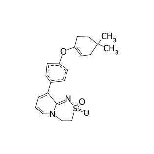 CC1(C)CC=C(Oc2ccc(C3=CC=CN4CCS(=O)(=O)N=C34)cc2)CC1